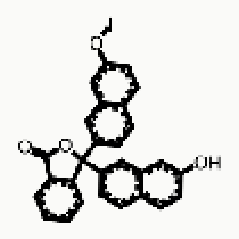 O=C1OC(c2ccc3ccc(O)cc3c2)(c2ccc3ccc(OI)cc3c2)c2ccccc21